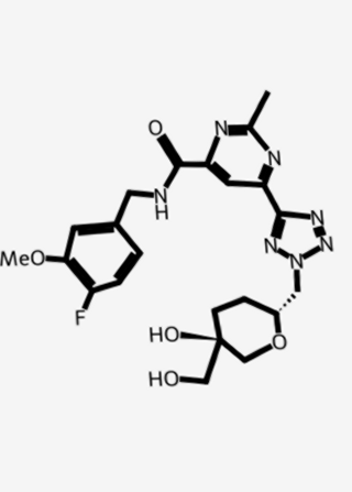 COc1cc(CNC(=O)c2cc(-c3nnn(C[C@H]4CC[C@@](O)(CO)CO4)n3)nc(C)n2)ccc1F